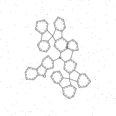 c1ccc(-c2cc3c(cc2N(c2ccc4c(c2)C2(c5ccccc5-c5ccccc52)c2ccccc2-4)c2ccc4c(c2)oc2ccccc24)C2(c4ccccc4-c4ccccc42)c2ccccc2-3)cc1